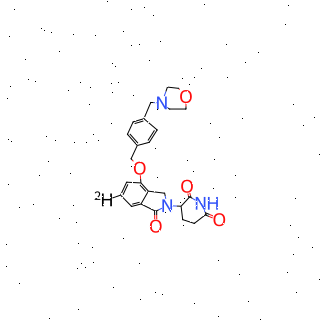 [2H]c1cc(OCc2ccc(CN3CCOCC3)cc2)c2c(c1)C(=O)N(C1CCC(=O)NC1=O)C2